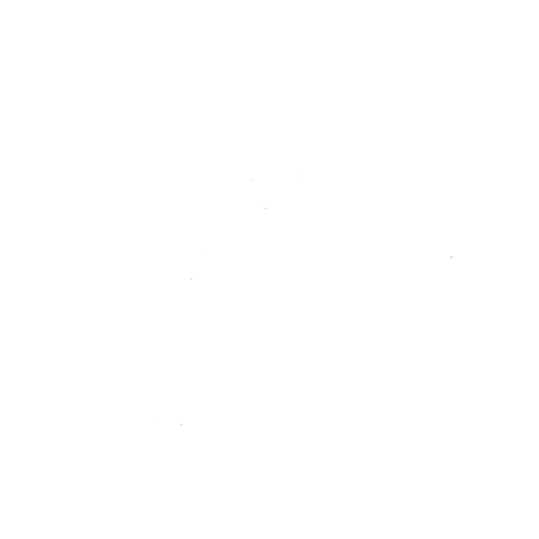 Cc1nc(-c2cccc(C(=O)O)c2)nn1CCC(C)(C)NCC(O)c1cc(OCc2ccccc2)cc2c1OCC(=O)N2.O=C(O)C(F)(F)F